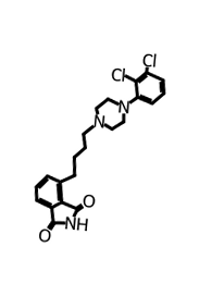 O=C1NC(=O)c2c(CCCCN3CCN(c4cccc(Cl)c4Cl)CC3)cccc21